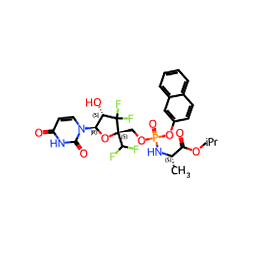 CC(C)OC(=O)[C@H](C)NP(=O)(OC[C@@]1(C(F)F)O[C@@H](n2ccc(=O)[nH]c2=O)[C@H](O)C1(F)F)Oc1ccc2ccccc2c1